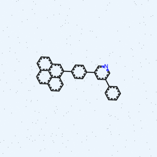 c1ccc(-c2cncc(-c3ccc(-c4cc5cccc6ccc7cccc4c7c65)cc3)c2)cc1